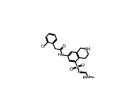 CN/C=N/S(=O)(=O)c1cc(NC(=O)Cc2ccccc2Cl)cc2c1CCNC2